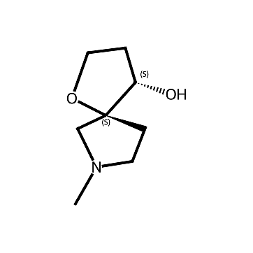 CN1CC[C@@]2(C1)OCC[C@@H]2O